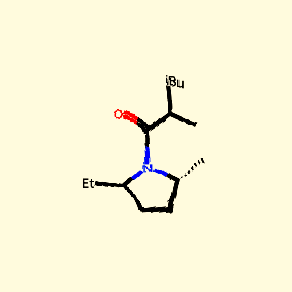 CCC(C)C(C)C(=O)N1C(CC)CC[C@H]1C